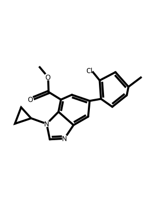 COC(=O)c1cc(-c2ccc(C)cc2Cl)cc2ncn(C3CC3)c12